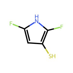 Fc1cc(S)c(F)[nH]1